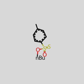 CCCCOS(=O)(=S)c1ccc(C)cc1